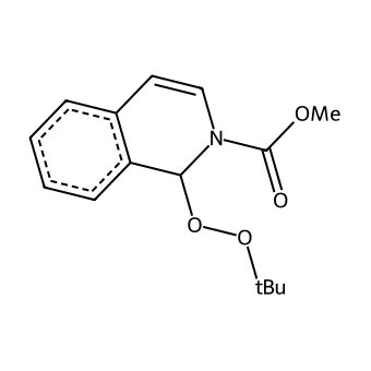 COC(=O)N1C=Cc2ccccc2C1OOC(C)(C)C